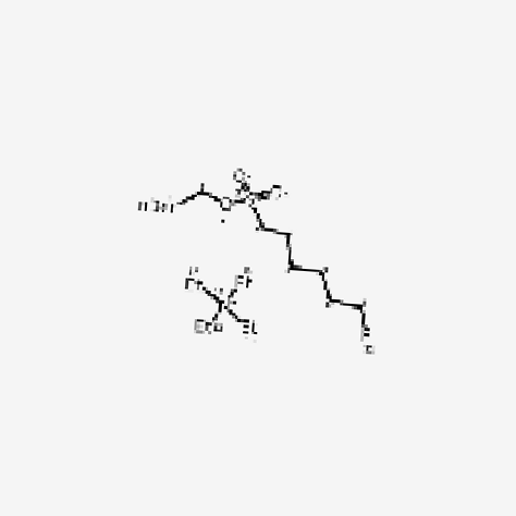 CCCCCCCCCCCOS(=O)(=O)CCCCCCF.CC[N+](CC)(CC)CC